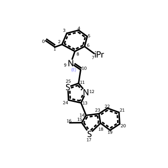 C=Cc1cccc(C(C)C)c1/N=C/c1nc(-c2c(C)sc3ccccc23)cs1